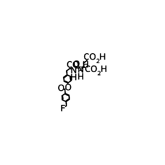 O=C(O)CCC(NC(=O)NC(Cc1ccc(OC(=O)c2ccc(CF)cc2)cc1)C(=O)O)C(=O)O